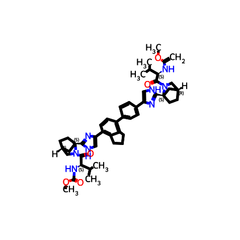 C=C(N[C@H](C(=O)N1C[C@@H]2CC[C@@]1(c1nc(-c3ccc(-c4ccc(-c5c[nH]c([C@@]67CC[C@@H](CN6C(=O)[C@@H](NC(=O)OC)C(C)C)C7)n5)c5c4CCC5)cc3)c[nH]1)C2)C(C)C)OC